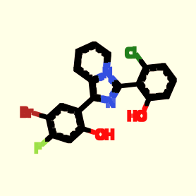 Oc1cc(F)c(Br)cc1-c1nc(-c2c(O)cccc2Cl)n2ccccc12